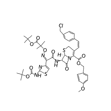 COc1ccc(COC(=O)C2=C(/C=C\c3ccc(CCl)cc3)CS[C@@H]3[C@H](NC(=O)/C(=N\OC(C)(C)C(=O)OC(C)(C)C)c4csc(NC(=O)OC(C)(C)C)n4)C(=O)N23)cc1